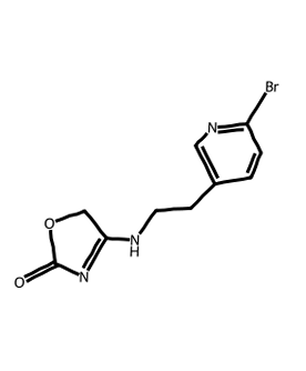 O=C1N=C(NCCc2ccc(Br)nc2)CO1